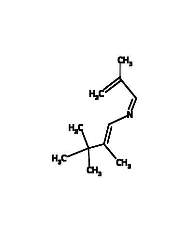 C=C(C)/C=N\C=C(/C)C(C)(C)C